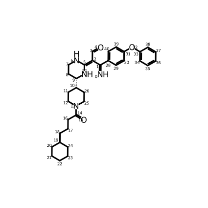 N=C(/C(C=O)=C1/NCC[C@@H](C2CCN(C(=O)CCCC3CCCCC3)CC2)N1)c1ccc(Oc2ccccc2)cc1